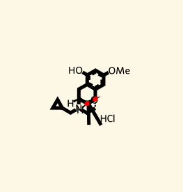 COc1cc(O)c2c(c1)[C@]13CCN(CC4CC4)[C@H](C2)[C@@H]1CC(C)(C)OC3.Cl